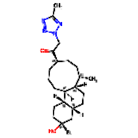 CC[C@@]1(O)CC[C@H]2[C@H](CC[C@@H]3[C@@H]2CCC[C@@H](C(=O)Cn2nnc(C)n2)CC[C@@H]3C)C1